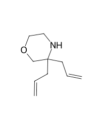 C=CCC1(CC=C)COCCN1